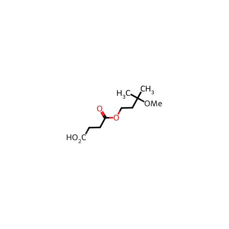 COC(C)(C)CCOC(=O)CCC(=O)O